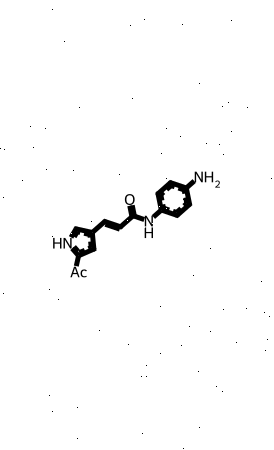 CC(=O)c1cc(/C=C/C(=O)Nc2ccc(N)cc2)c[nH]1